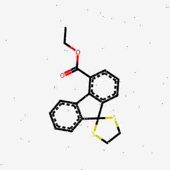 CCOC(=O)c1cccc2c1-c1ccccc1C21SCCS1